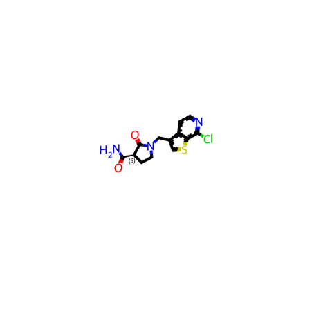 NC(=O)[C@@H]1CCN(Cc2csc3c(Cl)nccc23)C1=O